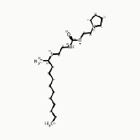 CCCCCCCCCCC(C)SCCNC(=O)OCCN1CCCC1